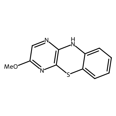 COc1cnc2c(n1)Sc1ccccc1N2